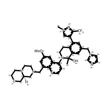 COc1cc(CN2CCN3CCOC[C@@H]3C2)c2nccc(N3CCc4c(-c5cn(C)nc5C(F)(F)F)cc(Cn5ccnc5)cc4C3(C)O)c2c1